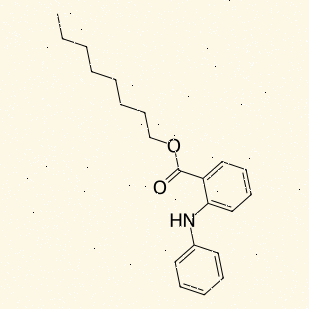 CCCCCCCCOC(=O)c1ccccc1Nc1ccccc1